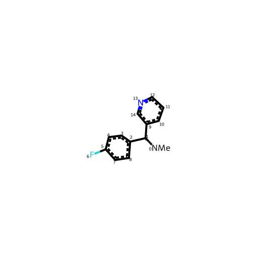 CN[C](c1ccc(F)cc1)c1cccnc1